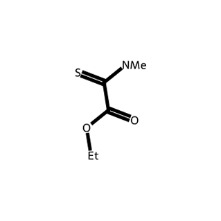 CCOC(=O)C(=S)NC